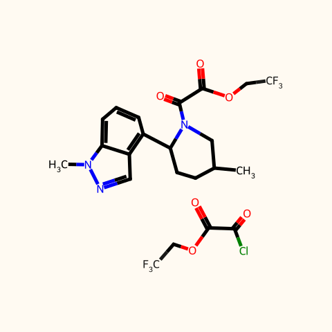 CC1CCC(c2cccc3c2cnn3C)N(C(=O)C(=O)OCC(F)(F)F)C1.O=C(Cl)C(=O)OCC(F)(F)F